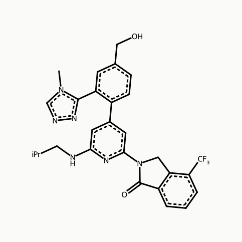 CC(C)CNc1cc(-c2ccc(CO)cc2-c2nncn2C)cc(N2Cc3c(cccc3C(F)(F)F)C2=O)n1